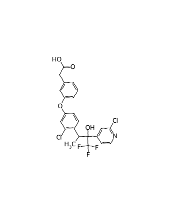 CC(c1ccc(Oc2cccc(CC(=O)O)c2)cc1Cl)C(O)(c1ccnc(Cl)c1)C(F)(F)F